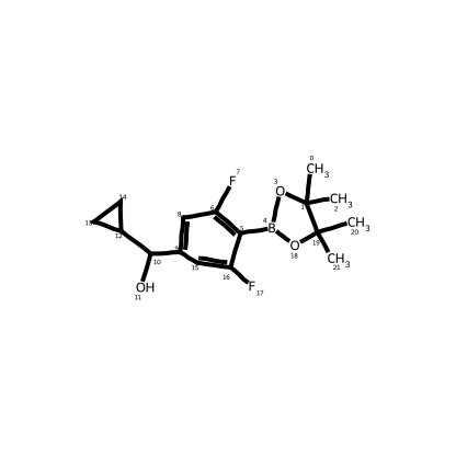 CC1(C)OB(c2c(F)cc(C(O)C3CC3)cc2F)OC1(C)C